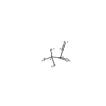 O=C(B=S)C(F)(F)F